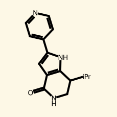 CC(C)C1CNC(=O)c2cc(-c3ccncc3)[nH]c21